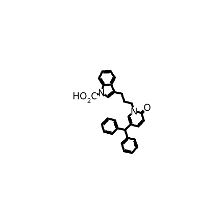 O=C(O)n1cc(CCCn2cc(C(c3ccccc3)c3ccccc3)ccc2=O)c2ccccc21